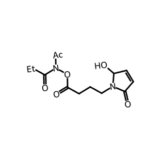 CCC(=O)N(OC(=O)CCCN1C(=O)C=CC1O)C(C)=O